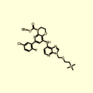 CC(C)(C)OC(=O)N1CCOc2c(Nc3ccnc4c3ncn4COCC[Si](C)(C)C)cc(-c3cc(Cl)ccc3F)nc21